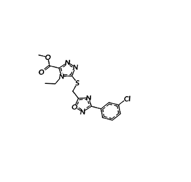 CCn1c(SCc2nc(-c3cccc(Cl)c3)no2)nnc1C(=O)OC